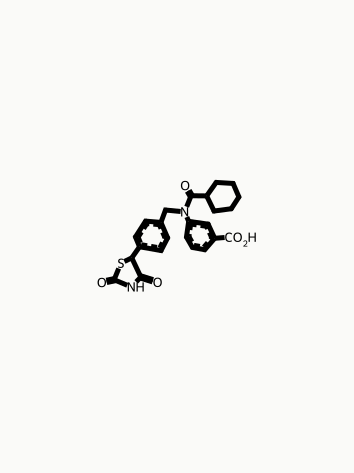 O=C1NC(=O)C(c2ccc(CN(C(=O)C3CCCCC3)c3cccc(C(=O)O)c3)cc2)S1